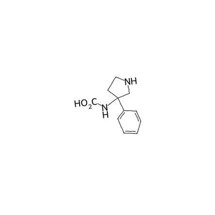 O=C(O)NC1(c2ccccc2)CCNC1